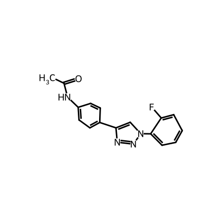 CC(=O)Nc1ccc(-c2cn(-c3ccccc3F)nn2)cc1